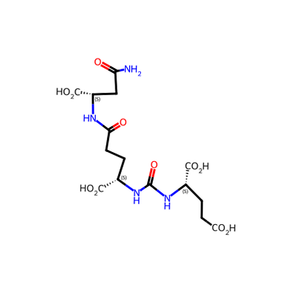 NC(=O)C[C@H](NC(=O)CC[C@H](NC(=O)N[C@@H](CCC(=O)O)C(=O)O)C(=O)O)C(=O)O